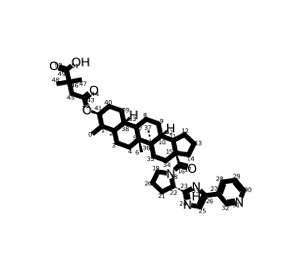 CC1C2CC[C@]3(C)C(CC[C@@H]4C5CCC[C@]5(C(=O)N5CCC[C@H]5c5ncc(-c6cccnc6)[nH]5)CC[C@]43C)[C@H]2CC[C@@H]1OC(=O)CC(C)(C)C(=O)O